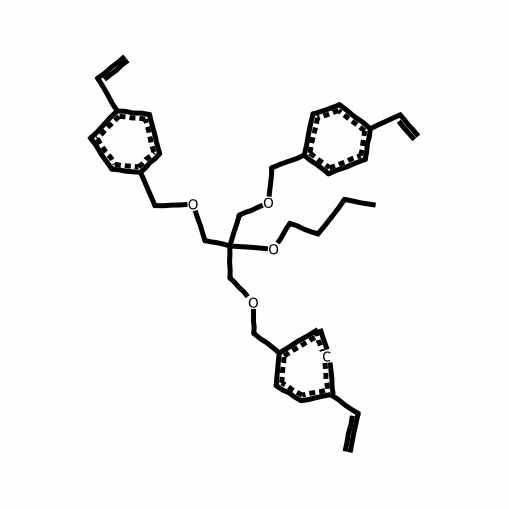 C=Cc1ccc(COCC(COCc2ccc(C=C)cc2)(COCc2ccc(C=C)cc2)OCCCC)cc1